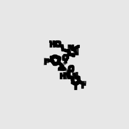 Cc1ncc(OC[C@@]2(c3cccc(F)c3)C[C@H]2C(=O)Nc2cc(C)c(F)cn2)c(CCO)n1